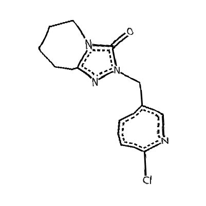 O=c1n(Cc2ccc(Cl)nc2)nc2n1CCCC2